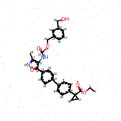 CCOC(=O)C1(c2ccc(-c3ccc(-c4onc(C)c4NC(=O)OCc4cccc(CO)c4)cc3)cc2)CC1